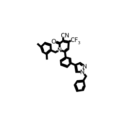 Cc1ccc(Cn2c(-c3cccc(-c4cnn(Cc5ccccc5)c4)c3)cc(C(F)(F)F)c(C#N)c2=O)c(C)c1